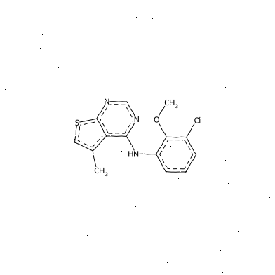 COc1c(Cl)cccc1Nc1ncnc2scc(C)c12